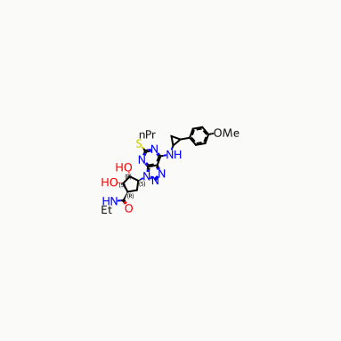 CCCSc1nc(NC2CC2c2ccc(OC)cc2)c2nnn([C@H]3C[C@@H](C(=O)NCC)[C@H](O)[C@@H]3O)c2n1